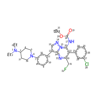 CCN(CC)C1CCN(c2cccc(-c3cnn4c(NC(=O)OC(C)(C)C)c(-c5cccc(Cl)c5)c(CF)nc34)c2)CC1